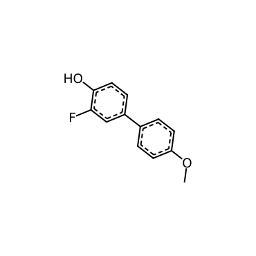 COc1ccc(-c2ccc(O)c(F)c2)cc1